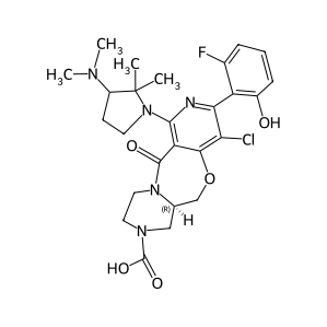 CN(C)C1CCN(c2nc(-c3c(O)cccc3F)c(Cl)c3c2C(=O)N2CCN(C(=O)O)C[C@@H]2CO3)C1(C)C